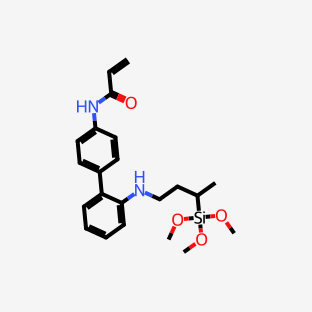 C=CC(=O)Nc1ccc(-c2ccccc2NCCC(C)[Si](OC)(OC)OC)cc1